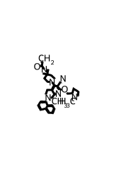 C=CC(=O)N1CC2(CCN(c3c(C#N)c(OCC4CCCN4C)nc4c3CCN(c3cccc5cccc(C)c35)C4)CC2)C1